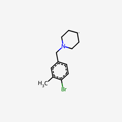 Cc1cc(CN2CC[CH]CC2)ccc1Br